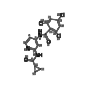 O=C(Nc1ccnc(NC(=O)C2CC2)c1)c1c(Cl)cc(Cl)cc1Cl